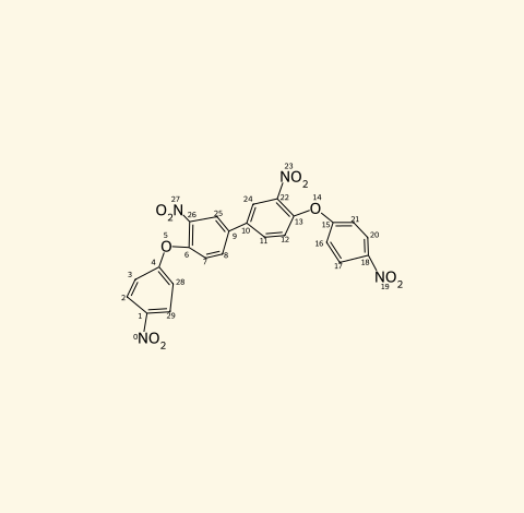 O=[N+]([O-])c1ccc(Oc2ccc(-c3ccc(Oc4ccc([N+](=O)[O-])cc4)c([N+](=O)[O-])c3)cc2[N+](=O)[O-])cc1